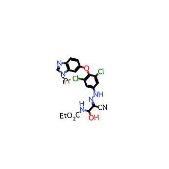 CCOC(=O)NC(O)/C(C#N)=N/Nc1cc(Cl)c(Oc2ccc3ncn(C(C)C)c3c2)c(Cl)c1